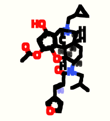 CC(=O)Oc1cc(O)c2c3c1O[C@H]1[C@H](N(CC(C)C)C(=O)/C=C/c4ccoc4)CC[C@H]4[C@@H](C2)N(CC2CC2)CC[C@@]341